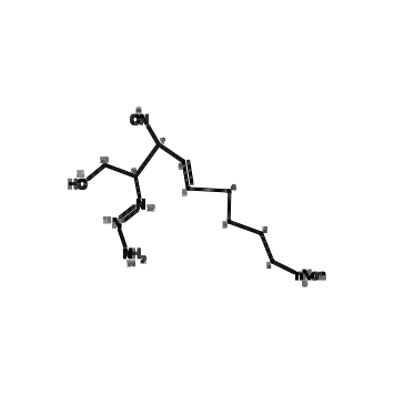 CCCCCCCCCCCCC/C=C/C(N=O)C(CO)N=NN